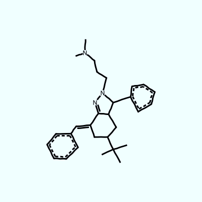 CN(C)CCCN1N=C2C(=Cc3ccccc3)CC(C(C)(C)C)CC2C1c1ccccc1